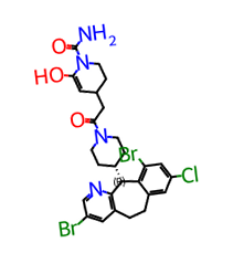 NC(=O)N1CCC(CC(=O)N2CCC([C@H]3c4ncc(Br)cc4CCc4cc(Cl)cc(Br)c43)CC2)C=C1O